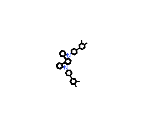 Cc1ccc(-c2ccc(-n3c4ccccc4c4c5c6ccccc6n(-c6ccc(-c7ccc(C)c(C)c7)cc6)c5ccc43)cc2)cc1C